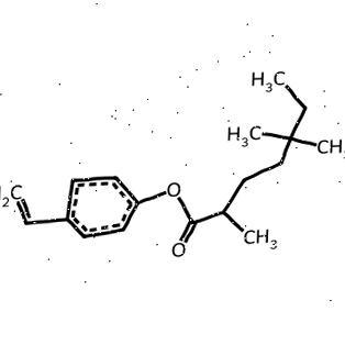 C=Cc1ccc(OC(=O)C(C)CCC(C)(C)CC)cc1